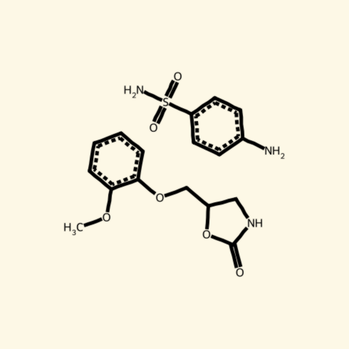 COc1ccccc1OCC1CNC(=O)O1.Nc1ccc(S(N)(=O)=O)cc1